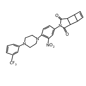 O=C1C2C3C=CC3C2C(=O)N1c1ccc(N2CCN(c3cccc(C(F)(F)F)c3)CC2)c([N+](=O)[O-])c1